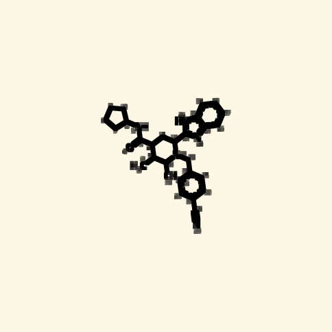 CC1C(C(=O)NC2CCCC2)CC(c2nc3ccccc3[nH]2)N(Cc2ccc(C#N)cc2)C1C